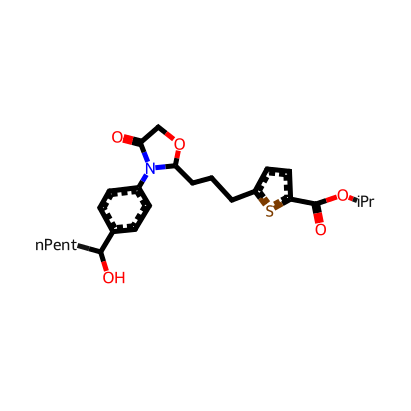 CCCCCC(O)c1ccc(N2C(=O)COC2CCCc2ccc(C(=O)OC(C)C)s2)cc1